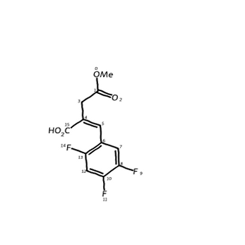 COC(=O)C/C(=C/c1cc(F)c(F)cc1F)C(=O)O